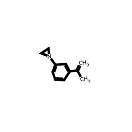 C=C(C)c1cccc(N2CC2)c1